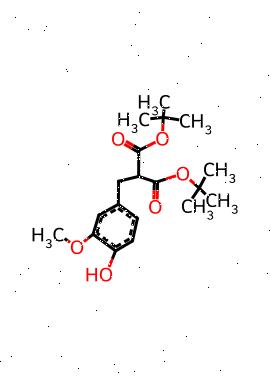 COc1cc(CC(C(=O)OC(C)(C)C)C(=O)OC(C)(C)C)ccc1O